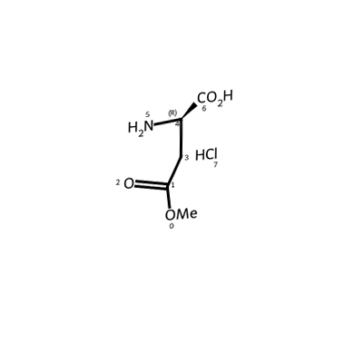 COC(=O)C[C@@H](N)C(=O)O.Cl